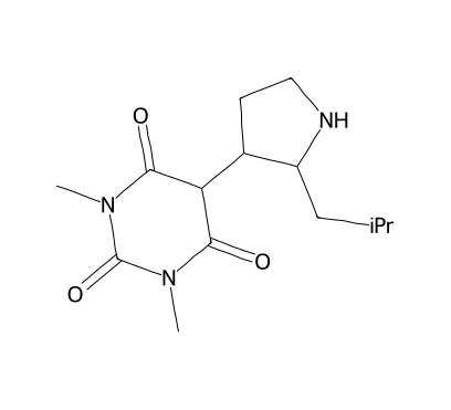 CC(C)CC1NCCC1C1C(=O)N(C)C(=O)N(C)C1=O